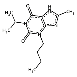 CCCCn1c(=O)n(C(C)C)c(=O)c2[nH]c(C)nc21